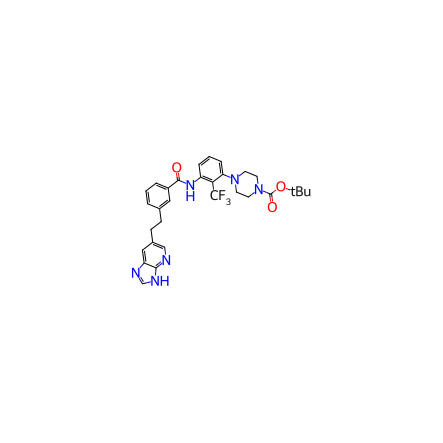 CC(C)(C)OC(=O)N1CCN(c2cccc(NC(=O)c3cccc(CCc4cnc5[nH]cnc5c4)c3)c2C(F)(F)F)CC1